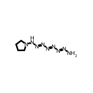 NN=NN=NN=NNN1CCCC1